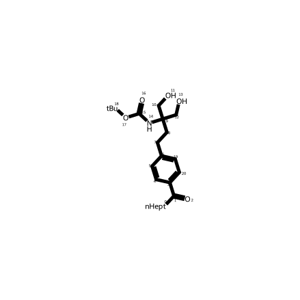 CCCCCCCC(=O)c1ccc(CCC(CO)(CO)NC(=O)OC(C)(C)C)cc1